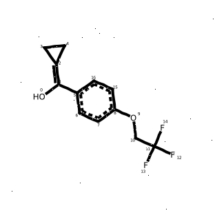 OC(=C1CC1)c1ccc(OCC(F)(F)F)cc1